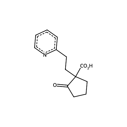 O=C(O)C1(CCc2ccccn2)CCCC1=O